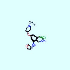 CN1CCC(Oc2cc3c(c(N[C@@H]4CCOC4)c2)CNCC3)CC1.Cl